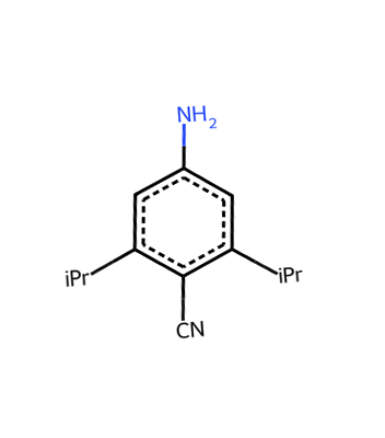 CC(C)c1cc(N)cc(C(C)C)c1C#N